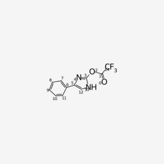 O=C(Oc1nc(-c2ccccc2)c[nH]1)C(F)(F)F